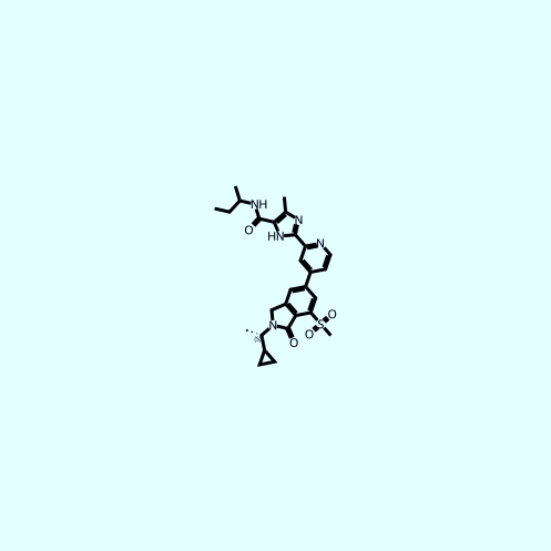 CCC(C)NC(=O)c1[nH]c(-c2cc(-c3cc4c(c(S(C)(=O)=O)c3)C(=O)N([C@@H](C)C3CC3)C4)ccn2)nc1C